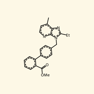 CCc1nc2c(C)ccnc2n1Cc1ccc(-c2ccccc2C(=O)OC)cc1